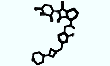 CN(Cc1ccc(CN2CC(N3CCOCC3)C2)cc1F)c1cccc2c1C(=O)N([C@H]1CCC(=O)NC1=O)C2=O